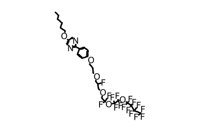 CCCCCCOc1cnc(-c2ccc(OCCCOCC(F)COCC(F)(F)OC(F)(F)C(F)(F)OC(F)(F)C(F)(F)C(F)(F)C(F)(F)F)cc2)nc1